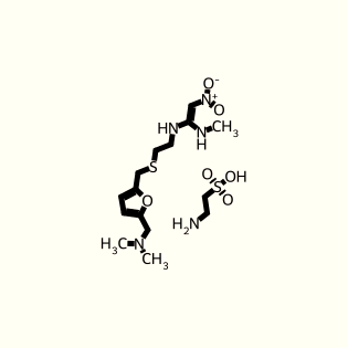 CNC(=C[N+](=O)[O-])NCCSCc1ccc(CN(C)C)o1.NCCS(=O)(=O)O